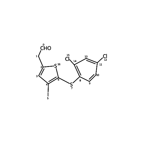 O=CCc1cc(I)c(Sc2ccc(Cl)cc2Cl)s1